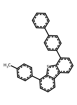 Cc1ccc(-c2cccc3c2sc2c(-c4ccc(-c5ccccc5)cc4)cccc23)cc1